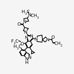 C=CC(=O)N1CC2(CCN(c3nc(N4CC(C(=O)N5CC(N(C)C)C5)C4)nc4c(OCC(F)(F)F)c(-c5c(C)ccc6[nH]ncc56)c(C5CC5)cc34)CC2)C1